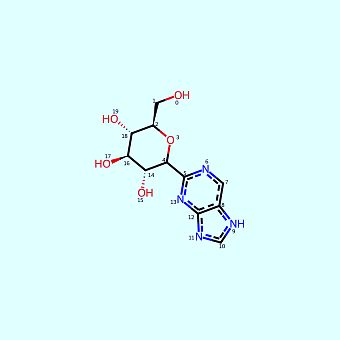 OC[C@H]1OC(c2ncc3[nH]cnc3n2)[C@H](O)[C@@H](O)[C@@H]1O